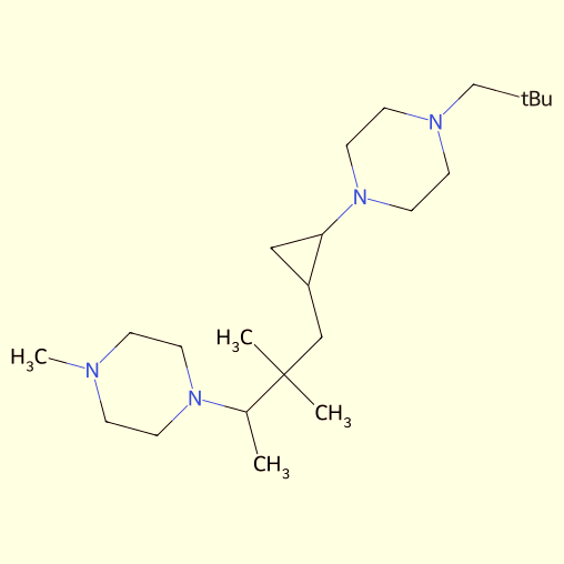 CC(N1CCN(C)CC1)C(C)(C)CC1CC1N1CCN(CC(C)(C)C)CC1